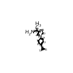 C[C@H](N)c1cn(-c2ccc(C3CC3)cc2)cn1